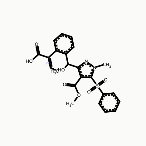 C/C=C(/C(=O)O)c1ccccc1C(O)c1nn(C)c(S(=O)(=O)c2ccccc2)c1C(=O)OC